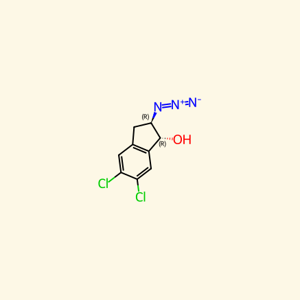 [N-]=[N+]=N[C@@H]1Cc2cc(Cl)c(Cl)cc2[C@H]1O